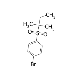 CCC(C)(C)S(=O)(=O)c1ccc(Br)cc1